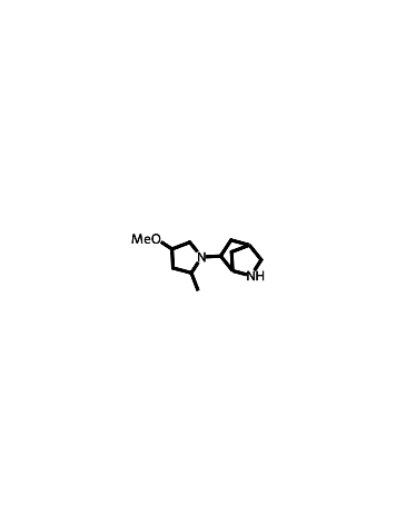 COC1CC(C)N(C2CC3CNC2C3)C1